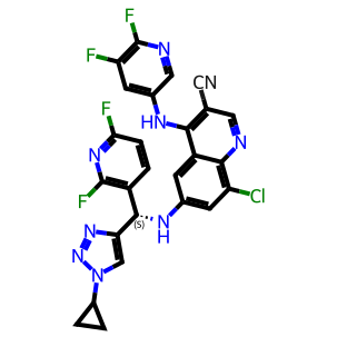 N#Cc1cnc2c(Cl)cc(N[C@H](c3cn(C4CC4)nn3)c3ccc(F)nc3F)cc2c1Nc1cnc(F)c(F)c1